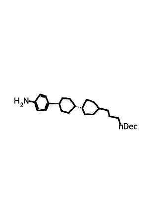 CCCCCCCCCCCCCC1CCC([C@H]2CC[C@H](c3ccc(N)cc3)CC2)CC1